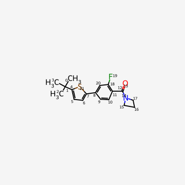 CC(C)(C)c1ccc(-c2ccc(C(=O)N3CCC3)c(F)c2)s1